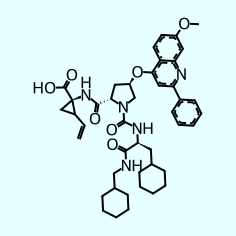 C=CC1C[C@]1(NC(=O)[C@@H]1C[C@@H](Oc2cc(-c3ccccc3)nc3cc(OC)ccc23)CN1C(=O)N[C@@H](CC1CCCCC1)C(=O)NCC1CCCCC1)C(=O)O